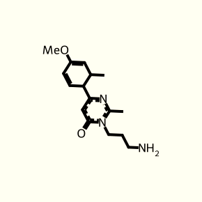 COC1=CC(C)C(c2cc(=O)n(CCCN)c(C)n2)C=C1